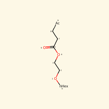 CCCCCCOCCOC(=O)CCC(C)=O